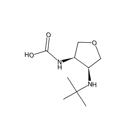 CC(C)(C)N[C@@H]1COC[C@@H]1NC(=O)O